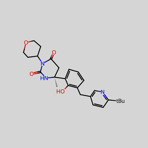 CC(C)(C)c1ccc(Cc2cccc([C@]3(C)CC(=O)N(C4CCOCC4)C(=O)N3)c2O)cn1